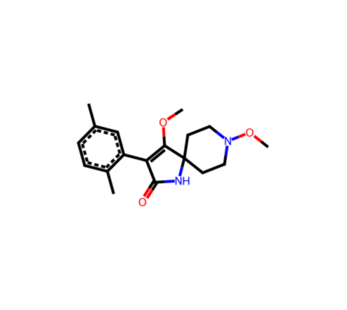 COC1=C(c2cc(C)ccc2C)C(=O)NC12CCN(OC)CC2